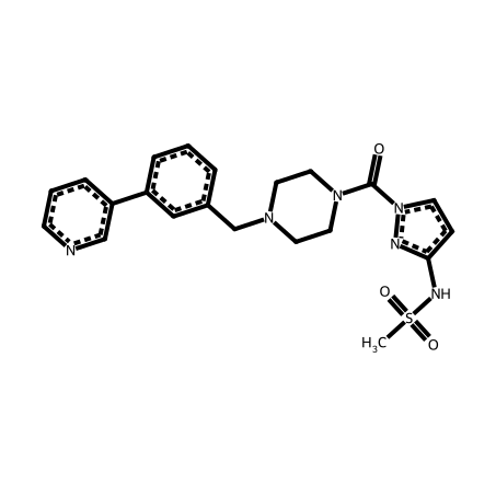 CS(=O)(=O)Nc1ccn(C(=O)N2CCN(Cc3cccc(-c4cccnc4)c3)CC2)n1